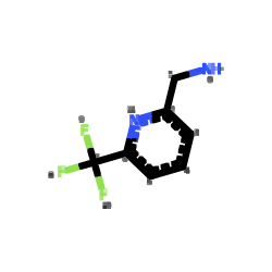 [NH]Cc1cccc(C(F)(F)F)n1